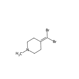 CN1CCC(=C(Br)Br)CC1